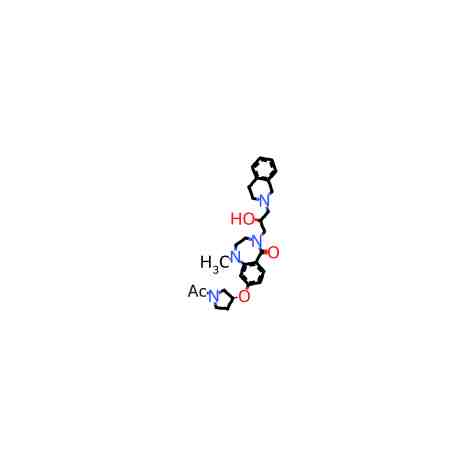 CC(=O)N1CC[C@@H](Oc2ccc3c(c2)N(C)CCN(CC(O)CN2CCc4ccccc4C2)C3=O)C1